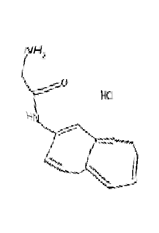 Cl.NCC(=O)Nc1ccc2ccccc2c1